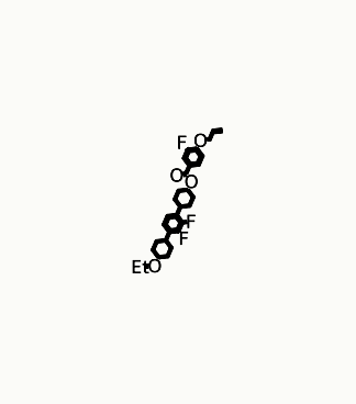 C=CCOc1ccc(C(=O)OC2CCC(c3ccc(C4CCC(OCC)CC4)c(F)c3F)CC2)cc1F